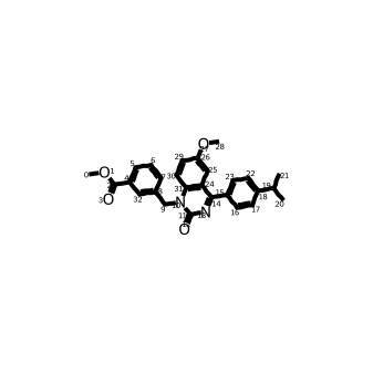 COC(=O)c1cccc(Cn2c(=O)nc(-c3ccc(C(C)C)cc3)c3cc(OC)ccc32)c1